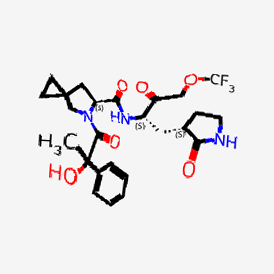 CC(O)(C(=O)N1CC2(CC2)C[C@H]1C(=O)N[C@@H](C[C@@H]1CCNC1=O)C(=O)COC(F)(F)F)c1ccccc1